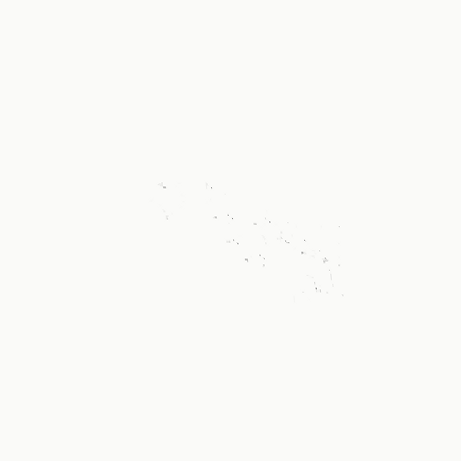 CC1(C)O[C@@H]2[C@H](O1)[C@@H](C(=O)O)O[C@H]2n1cnc2c(NCC(N)c3ccccc3)ncnc21